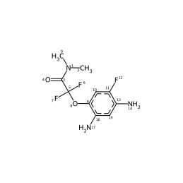 CN(C)C(=O)C(F)(F)Oc1cc(F)c(N)cc1N